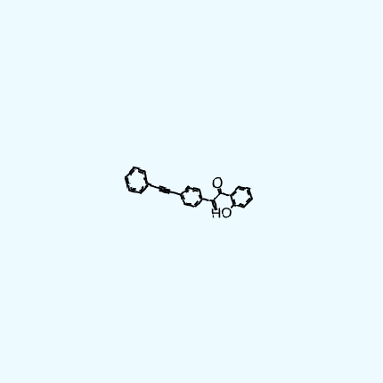 C=C(C(=O)c1ccccc1O)c1ccc(C#Cc2ccccc2)cc1